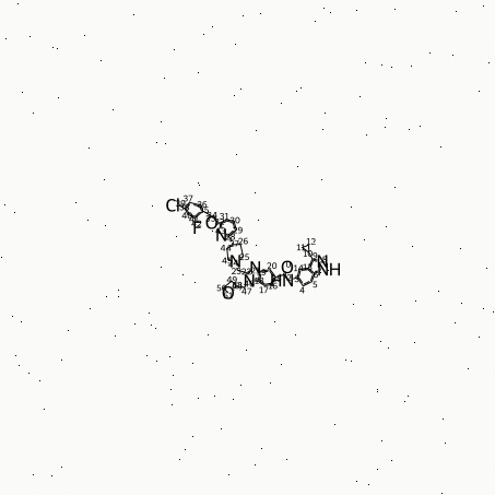 O=C(Nc1ccc2[nH]nc(C3CC3)c2c1)c1ccc2c(c1)nc(CN1CCC(c3cccc(OCc4ccc(Cl)cc4F)n3)CC1)n2C[C@@H]1CCO1